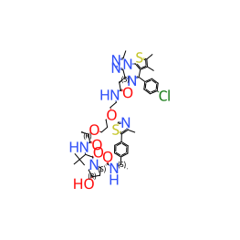 Cc1ncsc1-c1ccc([C@H](C)NC(=O)[C@@H]2C[C@@H](O)CN2C(=O)C(NC(=O)[C@@H](C)OCCCOCCNC(=O)C[C@@H]2N=C(c3ccc(Cl)cc3)c3c(sc(C)c3C)-n3c(C)nnc32)C(C)(C)C)cc1